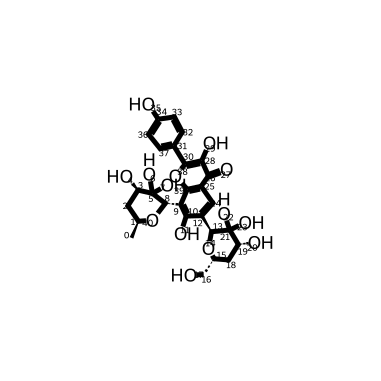 C[C@H]1C[C@@H](O)C(O)(O)[C@H](c2c(O)c([C@@H]3O[C@@H](CO)C[C@@H](O)C3(O)O)cc3c(=O)c(O)c(-c4ccc(O)cc4)oc23)O1